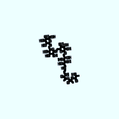 CC(O)C(=O)OC(C)C(=O)OC(C)C(=O)NCCNC[C@H](O)[C@@H](O)[C@H](O)[C@H](O)COC1OC(COC2OC(COC3OC(CO)C(O)C(O)C3O)C(O)C(O)C2O)C(O)C(O)C1O